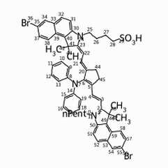 CCCCC[N+]1=C(/C=C/C2=C(N(c3ccccc3)c3ccccc3)C(=C/C=C3/N(CCCCS(=O)(=O)O)c4ccc5cc(Br)ccc5c4C3(C)C)/CC2)C(C)(C)c2c1ccc1cc(Br)ccc21